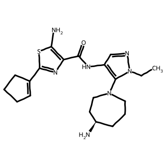 CCn1ncc(NC(=O)c2nc(C3=CCCC3)sc2N)c1N1CCC[C@@H](N)CC1